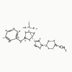 CN1CCC(n2cnc([C@]34CN(Cc5ccccc5)C[C@@]3(C(F)(F)F)C4)n2)CC1